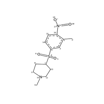 Cc1cc(S(=O)(=O)C2CCN(C)CC2)ccc1[N+](=O)[O-]